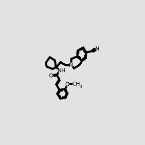 COc1ccccc1C=CC(=O)NC1(CCN2CCc3cc(C#N)ccc3C2)CCCCC1